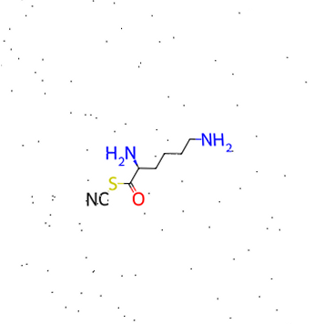 N#CSC(=O)[C@@H](N)CCCCN